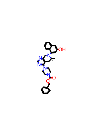 C[C@H]1Cc2c(ncnc2N2CCN(C(=O)OCc3ccccc3)CC2)CN1c1cc(O)cc2ccccc12